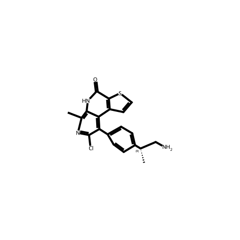 Cc1nc(Cl)c(-c2ccc([C@@H](C)CN)cc2)c2c1[nH]c(=O)c1sccc12